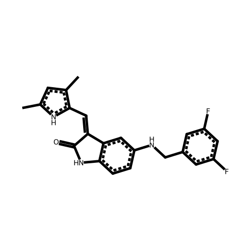 Cc1cc(C)c(/C=C2\C(=O)Nc3ccc(NCc4cc(F)cc(F)c4)cc32)[nH]1